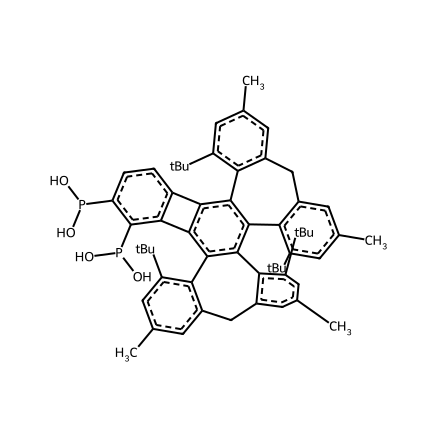 Cc1cc2c(c(C(C)(C)C)c1)-c1c3c(c4c(c1-c1c(cc(C)cc1C(C)(C)C)C2)-c1c(cc(C)cc1C(C)(C)C)Cc1cc(C)cc(C(C)(C)C)c1-4)-c1c-3ccc(P(O)O)c1P(O)O